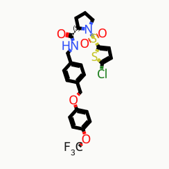 O=C(NCc1ccc(COc2ccc(OC(F)(F)F)cc2)cc1)[C@@H]1CCCN1S(=O)(=O)c1ccc(Cl)s1